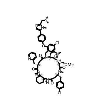 COC[C@@H]1NC(=O)[C@H](CCN(C)C)N(Cc2ccc(Cl)cc2Oc2ccc(-c3cnc(CN(C)C)n3C)cc2)C(=O)C[C@@H](Cc2ccccn2)C(=O)N(C)[C@H]2CCCC[C@@H]2NC(=O)C[C@H](Cc2ccc(Cl)cc2)N(C)C1=O